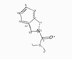 CC(C)C(=O)N1Cc2ccccc2C1